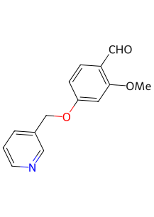 COc1cc(OCc2cccnc2)ccc1C=O